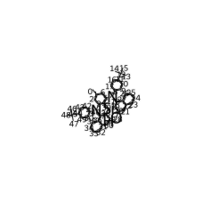 Cc1cc2c3c(c1)N(c1ccc(C(C)(C)C)cc1)c1c4c(cc5ccccc15)Oc1cc5ccccc5c(c1[SiH]34)N2c1ccc(C(C)(C)C)cc1